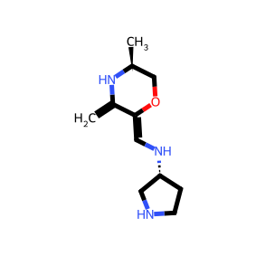 C=C1N[C@@H](C)CO/C1=C\N[C@@H]1CCNC1